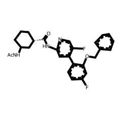 CC(=O)NC1CCC[C@H](C(=O)Nc2cc(-c3ccc(F)cc3OCc3ccccc3)c(F)cn2)C1